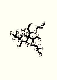 CCC(OCSC)C(NC(=O)C(F)(F)F)(C(CC)OCSC)C(CC)OCSC